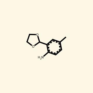 Cc1ccc(N)c(C2OCCO2)c1